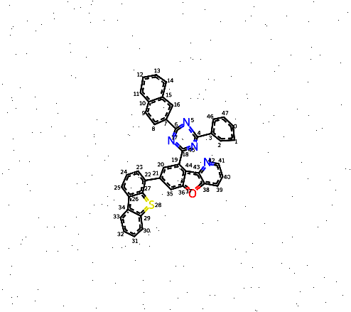 c1ccc(-c2nc(-c3ccc4ccccc4c3)nc(-c3cc(-c4cccc5c4sc4ccccc45)cc4oc5cccnc5c34)n2)cc1